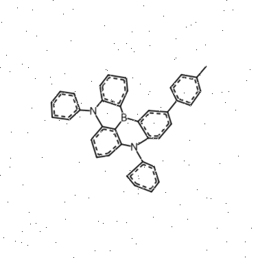 Cc1ccc(-c2ccc3c(c2)B2c4ccccc4N(c4ccccc4)c4cccc(c42)N3c2ccccc2)cc1